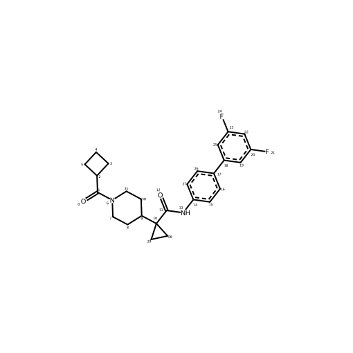 O=C(C1CCC1)N1CCC(C2(C(=O)Nc3ccc(-c4cc(F)cc(F)c4)cc3)CC2)CC1